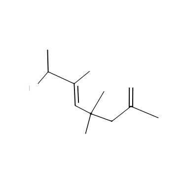 C=C(C)CC(C)(C)/C=C(\C)C(C)O